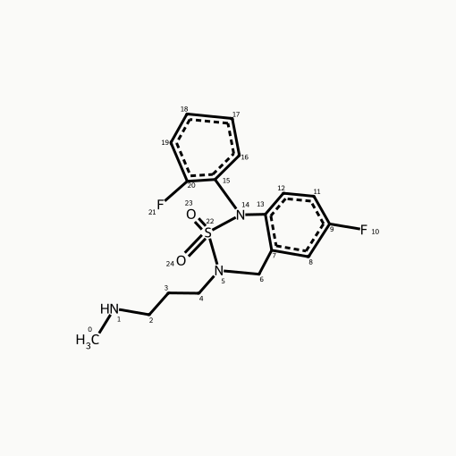 CNCCCN1Cc2cc(F)ccc2N(c2ccccc2F)S1(=O)=O